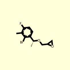 Cc1c(F)ccc([C@@H](C)OCC2CO2)c1Br